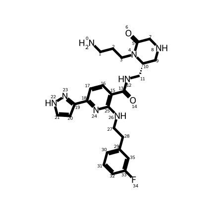 NCCCN1C(=O)CNC[C@@H]1CNC(=O)c1ccc(-c2cc[nH]n2)nc1NCCc1cccc(F)c1